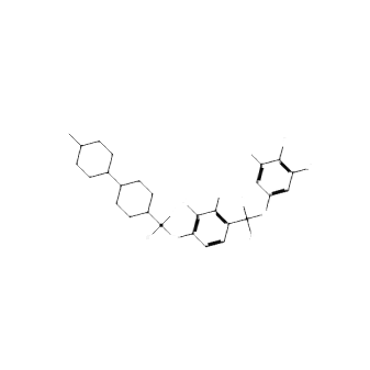 CC1CCC(C2CCC(C(F)(F)Oc3ccc(C(F)(F)Oc4cc(F)c(F)c(F)c4)c(F)c3F)CC2)CC1